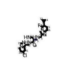 N=C/C(=C\NCc1cn2c(F)c(C3CC3)ccc2n1)C(=O)NCc1ncn2ccc(Cl)cc12